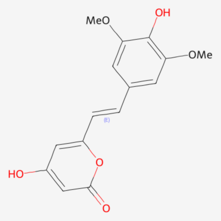 COc1cc(/C=C/c2cc(O)cc(=O)o2)cc(OC)c1O